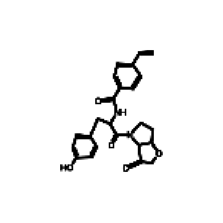 C=Cc1ccc(C(=O)NC(Cc2ccc(O)cc2)C(=O)N2CCC3OCC(=O)C32)cc1